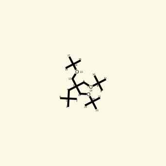 CC(C)(C)CC(COC(C)(C)C)(COC(C)(C)C)COC(C)(C)C